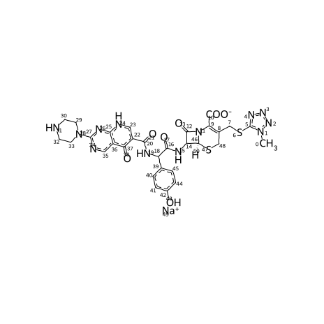 Cn1nnnc1SCC1=C(C(=O)[O-])N2C(=O)C(NC(=O)C(NC(=O)c3c[nH]c4nc(N5CCNCC5)ncc4c3=O)c3ccc(O)cc3)[C@@H]2SC1.[Na+]